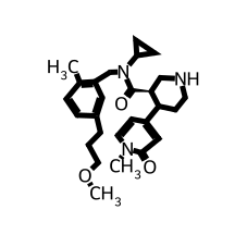 COCCCc1ccc(C)c(CN(C(=O)[C@H]2CNCCC2c2ccn(C)c(=O)c2)C2CC2)c1